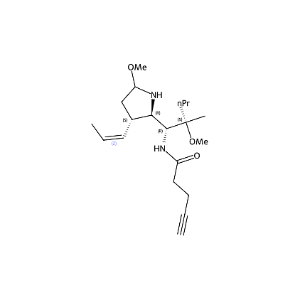 C#CCCC(=O)N[C@H]([C@@H]1NC(OC)C[C@H]1/C=C\C)[C@](C)(CCC)OC